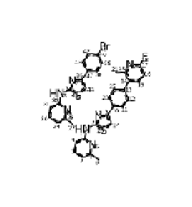 Cc1cccc(Nc2nc(-c3ccc(-c4ccc(F)nc4C)cc3)cs2)n1.Cc1cccc(Nc2nc(-c3ccc(Br)cc3)cs2)n1